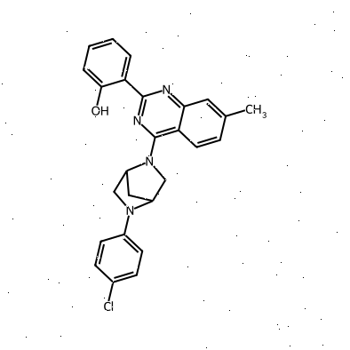 Cc1ccc2c(N3CC4CC3CN4c3ccc(Cl)cc3)nc(-c3ccccc3O)nc2c1